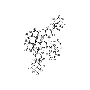 CC12CCCCC1(C)N(c1cc3c4c(c1)N(c1ccc(C56CC7CC8CC(C5)C876)cc1)c1cccc5c1B4c1c(cccc1[Si]5(C)C)N3c1ccc(C34CC5CC6CC(C3)C65C4)cc1)c1ccccc12